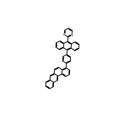 c1cnc(-c2c3ccccc3c(-c3ccc(-c4cccc5c4ccc4cc6ccccc6cc45)cc3)c3ccccc23)nc1